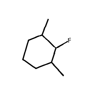 CC1CCCC(C)C1F